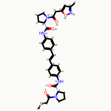 CSCC(=O)N1CCC[C@H]1C(=O)Nc1ccc(/C=C/c2ccc(NC(=O)[C@@H]3CCCN3C(=O)Cc3cc(C)no3)cc2)cc1